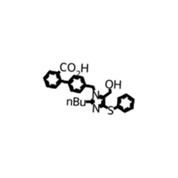 CCCCc1nc(Sc2ccccc2)c(CO)n1Cc1ccc(-c2ccccc2C(=O)O)cc1